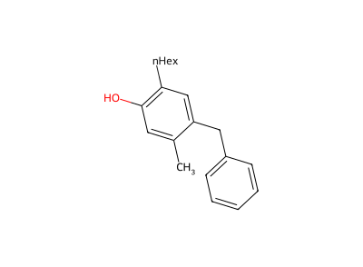 CCCCCCc1cc(Cc2ccccc2)c(C)cc1O